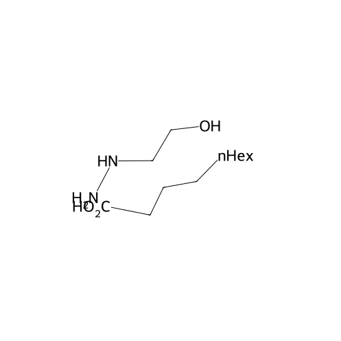 CCCCCCCCCC(=O)O.NNCCO